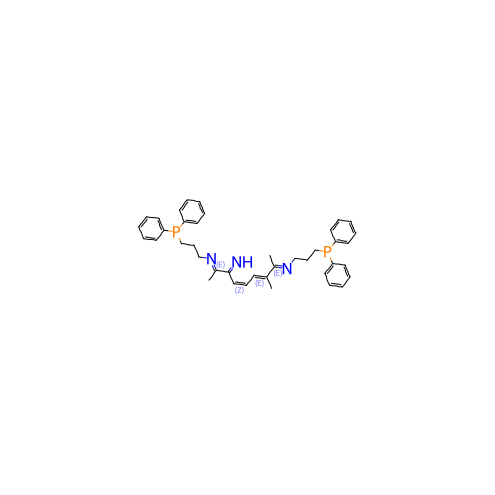 CC(=C\C=C/C(=N)/C(C)=N/CCCP(c1ccccc1)c1ccccc1)/C(C)=N/CCCP(c1ccccc1)c1ccccc1